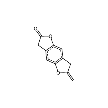 C=C1Cc2cc3c(cc2O1)CC(=O)O3